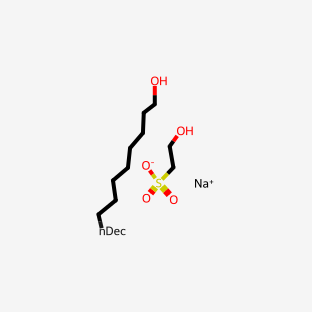 CCCCCCCCCCCCCCCCCCO.O=S(=O)([O-])CCO.[Na+]